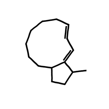 CC1CCC2CCCCCC/C=C/C=C/12